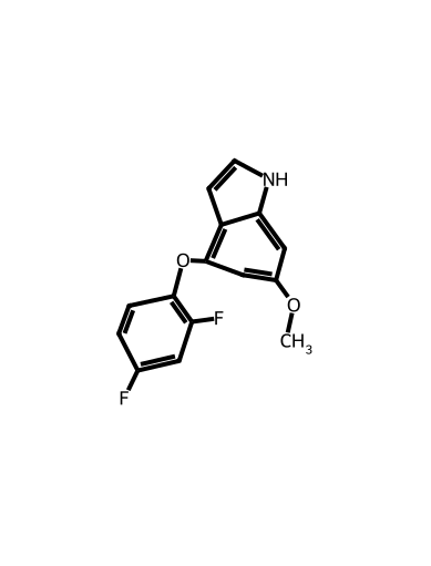 COc1cc(Oc2ccc(F)cc2F)c2cc[nH]c2c1